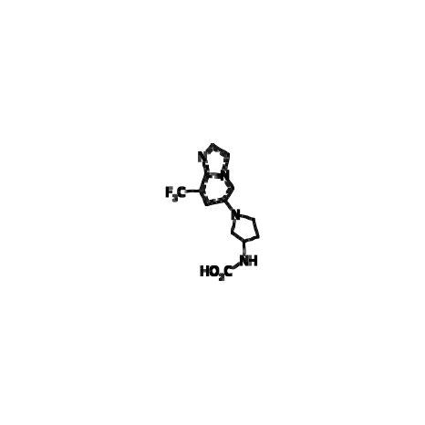 O=C(O)NC1CCN(c2cc(C(F)(F)F)c3nccn3c2)C1